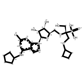 O=P(O)(O)[C@](CO)(COC1CCC1)OC[C@H]1O[C@@H](n2ncc3c(NC4CCCC4)nc(Cl)nc32)[C@H](O)[C@@H]1O